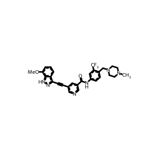 COc1cccc2c(C#Cc3cncc(C(=O)Nc4ccc(CN5CCN(C)CC5)c(C(F)(F)F)c4)c3)n[nH]c12